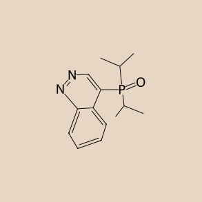 CC(C)P(=O)(c1cnnc2ccccc12)C(C)C